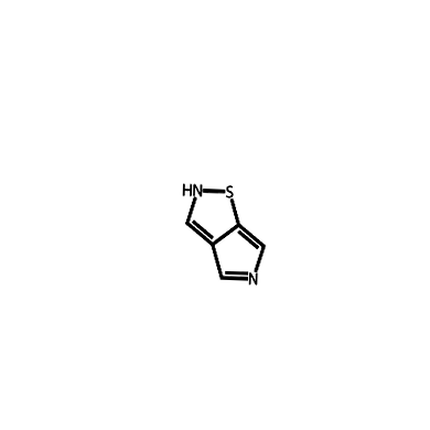 c1ncc2s[nH]cc1-2